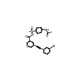 CC(=O)Nc1ccc(S(C)(=O)=NC(=O)c2cncc(C#Cc3cccc(Br)c3)c2)cc1